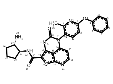 Cc1nc(Oc2ccccc2)ccc1N1C(=O)Nc2c(C(=O)N[C@H]3CCC[C@@H]3N)sc3nccc1c23